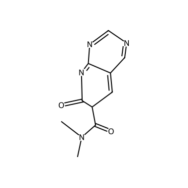 CN(C)C(=O)C1C=c2cncnc2=NC1=O